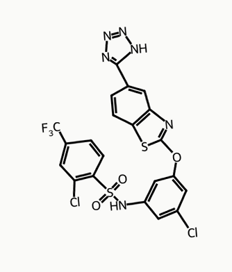 O=S(=O)(Nc1cc(Cl)cc(Oc2nc3cc(-c4nnn[nH]4)ccc3s2)c1)c1ccc(C(F)(F)F)cc1Cl